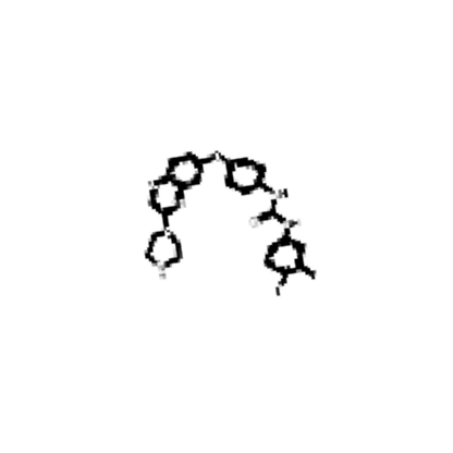 O=C(Nc1ccc(Oc2ccc3ncc(N4CCNCC4)nc3c2)cc1)Nc1ccc(F)c(F)c1